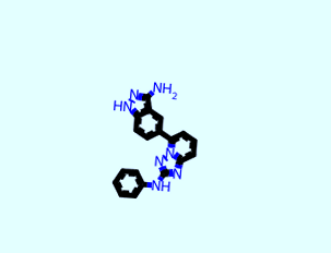 Nc1n[nH]c2ccc(-c3cccc4nc(Nc5ccccc5)nn34)cc12